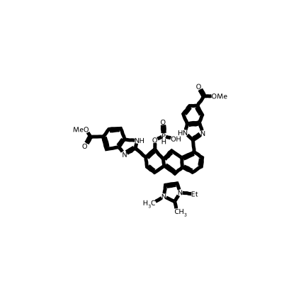 CCN1C=CN(C)C1C.COC(=O)c1ccc2[nH]c(-c3ccc4cc5cccc(-c6nc7cc(C(=O)OC)ccc7[nH]6)c5cc4c3O[PH](=O)O)nc2c1